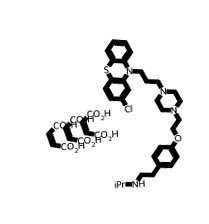 CC(C)NCCc1ccc(OCCN2CCN(CCCN3c4ccccc4Sc4ccc(Cl)cc43)CC2)cc1.O=C(O)/C=C\C(=O)O.O=C(O)/C=C\C(=O)O.O=C(O)/C=C\C(=O)O